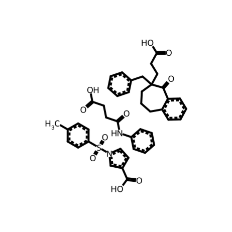 Cc1ccc(S(=O)(=O)n2ccc(C(=O)O)c2)cc1.O=C(O)CCC(=O)Nc1ccccc1.O=C(O)CCC1(Cc2ccccc2)CCCc2ccccc2C1=O